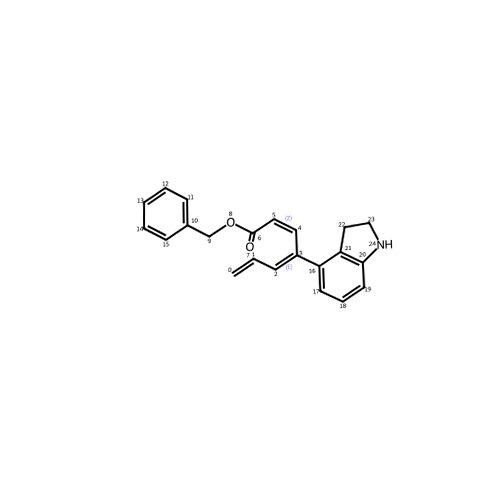 C=C/C=C(\C=C/C(=O)OCc1ccccc1)c1cccc2c1CCN2